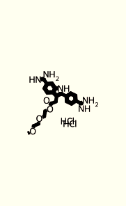 COCCOCCOC(=O)Cc1c(-c2ccc(C(=N)N)cc2)[nH]c2cc(C(=N)N)ccc12.Cl.Cl